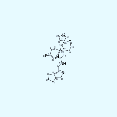 Fc1ccc([C@]2(CCNCc3scc4c3CCC4)CCO[C@]3(CCOC3)C2)nc1